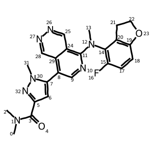 CN(C)C(=O)c1cc(-c2cnc(N(C)c3c(F)ccc4c3CCO4)c3cnncc23)n(C)n1